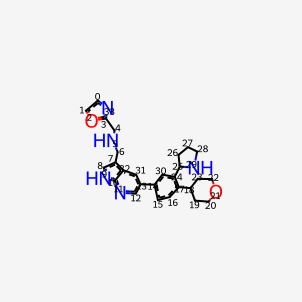 c1coc(CNCc2c[nH]c3ncc(-c4ccc(C5CCOCC5)c(C5CCCN5)c4)cc23)n1